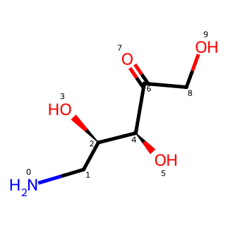 NC[C@@H](O)[C@H](O)C(=O)CO